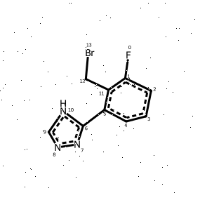 Fc1cccc(-c2nnc[nH]2)c1CBr